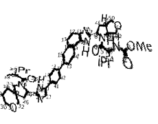 COC(=O)N[C@H](C(=O)N1[C@H](c2nc3ccc4cc(-c5ccc(-c6cnc([C@@H]7C[C@@]8(CCCOC8)CN7C(=O)[C@@H](C)C(C)C)[nH]6)cc5)ccc4c3[nH]2)C[C@@H]2COC[C@@H]21)C(C)C